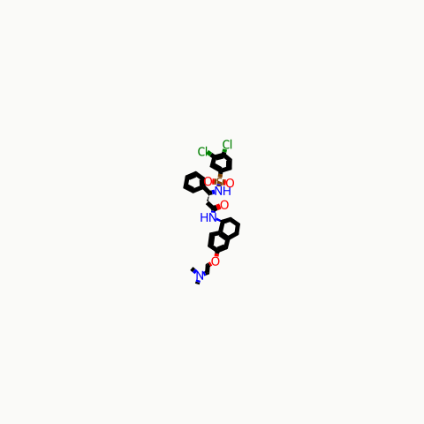 CN(C)CCOc1ccc2c(c1)CCC[C@@H]2NC(=O)C[C@@H](NS(=O)(=O)c1ccc(Cl)c(Cl)c1)c1ccccc1